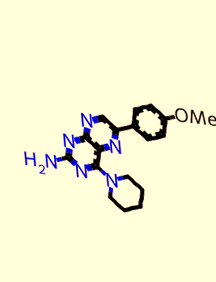 COc1ccc(-c2cnc3nc(N)nc(N4CCCCC4)c3n2)cc1